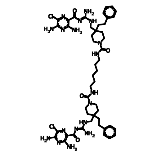 N/C(=N\C(=O)c1nc(Cl)c(N)nc1N)NCC1(CCc2ccccc2)CCN(C(=O)NCCCCCCNC(=O)N2CCC(CCc3ccccc3)(CN/C(N)=N/C(=O)c3nc(Cl)c(N)nc3N)CC2)CC1